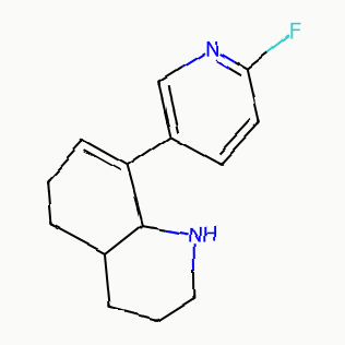 Fc1ccc(C2=CCCC3CCCNC23)cn1